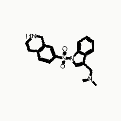 CN(C)Cc1cn(S(=O)(=O)c2ccc3c(c2)CNCC3)c2ccccc12